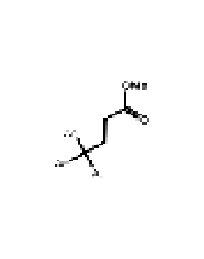 COC(=O)CCC(C(C)=O)(C(C)=O)C(C)=O